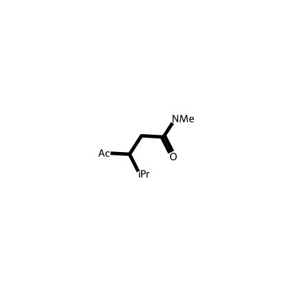 CNC(=O)CC(C(C)=O)C(C)C